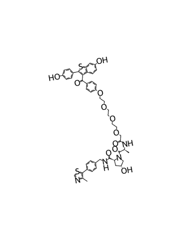 Cc1ncsc1-c1ccc(CNC(=O)[C@@H]2C[C@@H](O)CN2C(=O)[C@H](C)NC(=O)COCCOCCOCCOc2ccc(C(=O)c3c(-c4ccc(O)cc4)sc4cc(O)ccc34)cc2)cc1